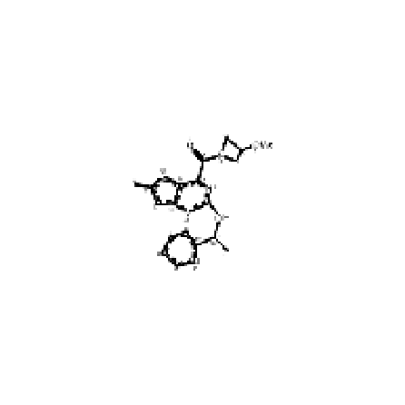 COC1CN(C(=O)c2nc(N[C@@H](C)c3ccccn3)nc3cc(C)sc23)C1